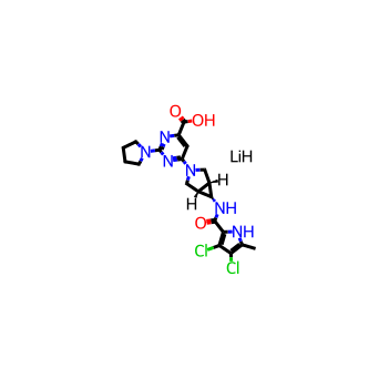 Cc1[nH]c(C(=O)N[C@H]2[C@@H]3CN(c4cc(C(=O)O)nc(N5CCCC5)n4)C[C@@H]32)c(Cl)c1Cl.[LiH]